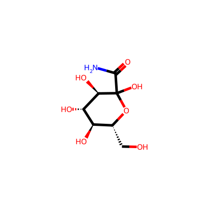 NC(=O)C1(O)O[C@H](CO)[C@@H](O)[C@H](O)[C@H]1O